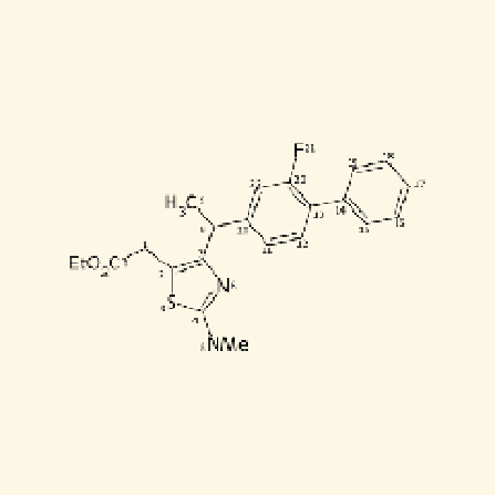 CCOC(=O)Cc1sc(NC)nc1C(C)c1ccc(-c2ccccc2)c(F)c1